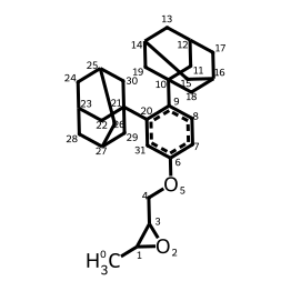 CC1OC1COc1ccc(C23CC4CC(CC(C4)C2)C3)c(C23CC4CC(CC(C4)C2)C3)c1